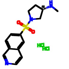 CN[C@H]1CCN(S(=O)(=O)c2ccc3cnccc3c2)C1.Cl.Cl